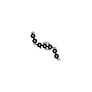 CCCCCCc1cc(-c2ccc(Nc3ccc(-c4ccc(CCC)cc4)cc3)cc2C)c(CCCCCC)cc1-c1ccc(Nc2ccc(-c3ccc(CCC)cc3)cc2)cc1C